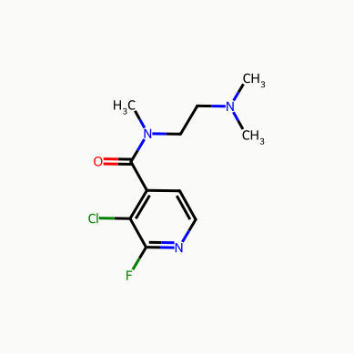 CN(C)CCN(C)C(=O)c1ccnc(F)c1Cl